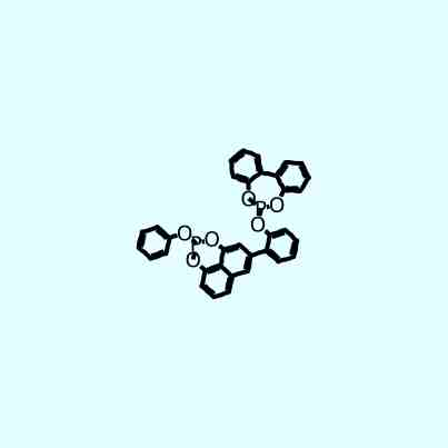 c1ccc(OP2Oc3cccc4cc(-c5ccccc5Op5oc6ccccc6c6ccccc6o5)cc(c34)O2)cc1